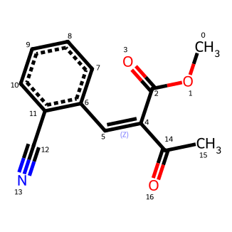 COC(=O)/C(=C\c1ccccc1C#N)C(C)=O